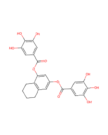 O=C(Oc1cc2c(c(OC(=O)c3cc(O)c(O)c(O)c3)c1)CCCC2)c1cc(O)c(O)c(O)c1